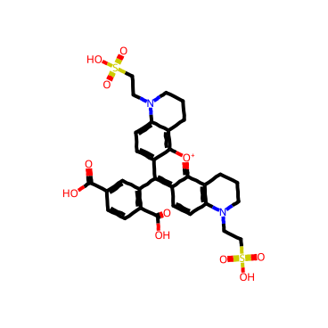 O=C(O)c1ccc(C(=O)O)c(-c2c3ccc4c(c3[o+]c3c5c(ccc23)N(CCS(=O)(=O)O)CCC5)CCCN4CCS(=O)(=O)O)c1